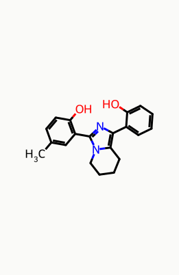 Cc1ccc(O)c(-c2nc(-c3ccccc3O)c3n2CCCC3)c1